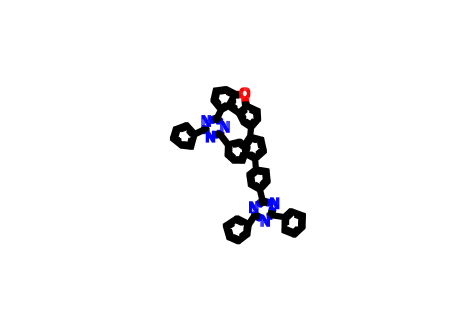 c1ccc(-c2nc(-c3ccccc3)nc(-c3ccc(-c4ccc(-c5ccc6oc7cccc(-c8nc(-c9ccccc9)nc(-c9ccccc9)n8)c7c6c5)cc4)cc3)n2)cc1